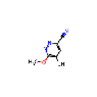 COc1nnc(C#N)cc1C